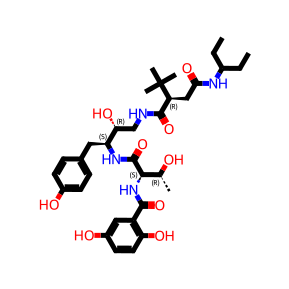 CCC(CC)NC(=O)C[C@@H](C(=O)NC[C@@H](O)[C@H](Cc1ccc(O)cc1)NC(=O)[C@@H](NC(=O)c1cc(O)ccc1O)[C@@H](C)O)C(C)(C)C